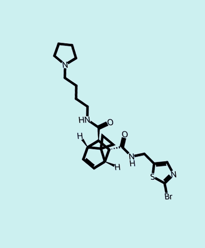 O=C(NCCCCN1CCCC1)[C@H]1[C@H](C(=O)NCc2cnc(Br)s2)[C@@H]2C=C[C@H]1C21CC1